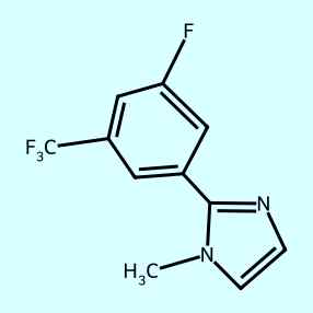 Cn1ccnc1-c1cc(F)cc(C(F)(F)F)c1